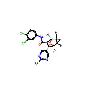 Cc1ncc([C@H]2[C@H]3O[C@H]([C@@H]4C[C@@H]43)[C@@H]2C(=O)Nc2ccc(Cl)c(Cl)c2)cn1